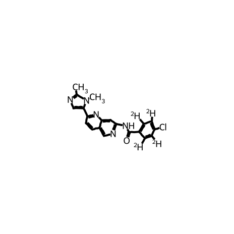 [2H]c1c([2H])c(C(=O)Nc2cc3nc(-c4cnc(C)n4C)ccc3cn2)c([2H])c([2H])c1Cl